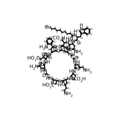 CCC(C)CCCCCCCCC(=O)NC(Cc1c[nH]c2ccccc12)C(=O)NC(CC(N)=O)C(=O)NC(CC(=O)O)C(=O)NC1C(=O)NCC(=O)NC(CCCN)C(=O)NC(CC(=O)O)C(=O)NC(CCCCN)C(=O)NC(CC(=O)O)C(=O)NCC(=O)NC(CC(N)=O)C(=O)NC(C(C)CC(=O)O)C(=O)NC(CC(=O)c2ccccc2N)C(=O)OC1C